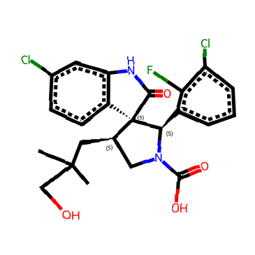 CC(C)(CO)C[C@@H]1CN(C(=O)O)[C@H](c2cccc(Cl)c2F)[C@]12C(=O)Nc1cc(Cl)ccc12